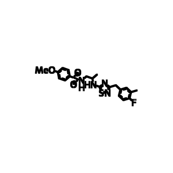 COc1ccc(S(=O)(=O)NCC(C)Nc2nc(Cc3ccc(F)c(C)c3)ns2)cc1